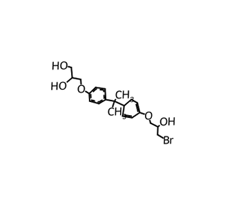 CC(C)(c1ccc(OCC(O)CO)cc1)C1C=CC(OCC(O)CBr)=CC1